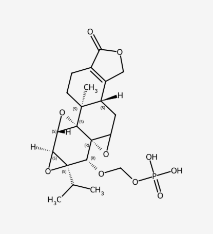 CC(C)[C@]12O[C@H]1[C@@H]1O[C@@]13[C@@]1(C)CCC4=C(COC4=O)[C@@H]1CC1O[C@@]13[C@@H]2OCOP(=O)(O)O